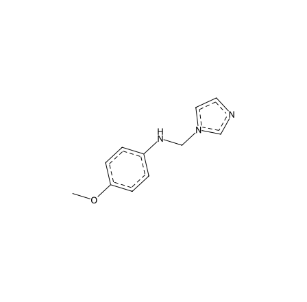 COc1ccc(NCn2ccnc2)cc1